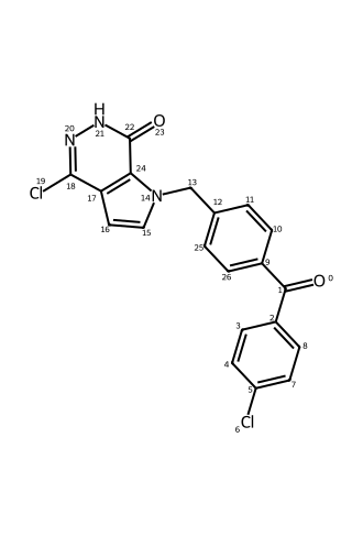 O=C(c1ccc(Cl)cc1)c1ccc(Cn2ccc3c(Cl)n[nH]c(=O)c32)cc1